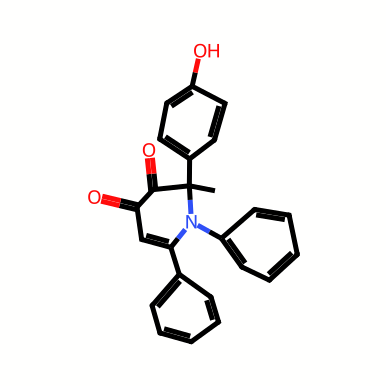 CC1(c2ccc(O)cc2)C(=O)C(=O)C=C(c2ccccc2)N1c1ccccc1